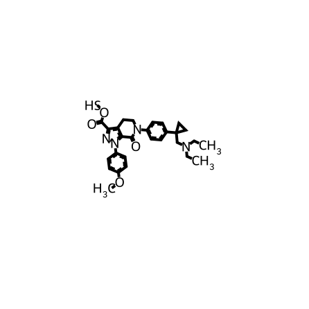 CCN(CC)CC1(c2ccc(N3CCc4c(C(=O)OS)nn(-c5ccc(OC)cc5)c4C3=O)cc2)CC1